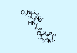 O=[N+]([O-])c1cc[n+]([O-])c(NCCCOc2ccc3ncccc3c2)c1